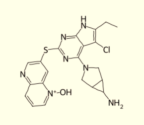 CCc1[nH]c2nc(Sc3cnc4ccc[n+](O)c4c3)nc(N3CC4C(N)C4C3)c2c1Cl